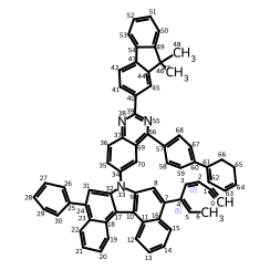 C#C/C=C\C(=C/C)c1cc2c(c3ccccc13)c1c3ccccc3c(-c3ccccc3)cc1n2-c1ccc2nc(-c3ccc4c(c3)C(C)(C)c3ccccc3-4)nc(-c3ccc(C4=CC=CCC4)cc3)c2c1